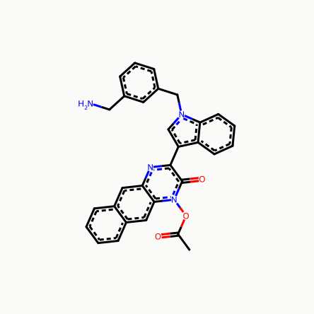 CC(=O)On1c(=O)c(-c2cn(Cc3cccc(CN)c3)c3ccccc23)nc2cc3ccccc3cc21